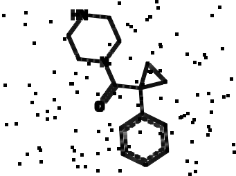 O=C(N1CCNCC1)C1(c2ccccc2)CC1